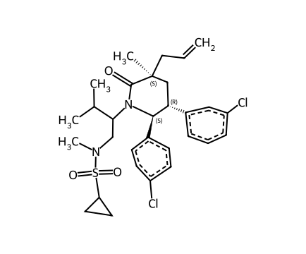 C=CC[C@@]1(C)C[C@H](c2cccc(Cl)c2)[C@@H](c2ccc(Cl)cc2)N(C(CN(C)S(=O)(=O)C2CC2)C(C)C)C1=O